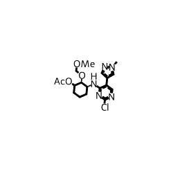 COCO[C@@H]1C(OC(C)=O)CCC[C@@H]1Nc1nc(Cl)ncc1-c1cnn(C)c1